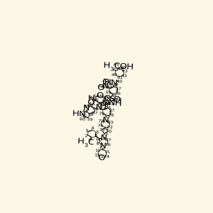 Cc1ccccc1[C@@H]1CN(C2CCOCC2)CCN1C1CC2(CCN(c3ccc(C(=O)NS(=O)(=O)c4ccc(NC[C@H]5CC[C@](C)(O)CC5)c([N+](=O)[O-])c4)c(N4c5cc6cc[nH]c6nc5O[C@H]5COCC[C@@H]54)c3)CC2)C1